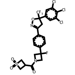 O=C(C1CS(=O)(=O)C1)N1CC(F)(c2ccc(C3=NOC(c4cc(Cl)c(Cl)c(Cl)c4)(C(F)(F)F)C3)cc2)C1